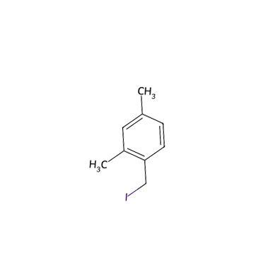 Cc1ccc(CI)c(C)c1